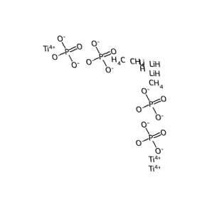 C.C.C.O=P([O-])([O-])[O-].O=P([O-])([O-])[O-].O=P([O-])([O-])[O-].O=P([O-])([O-])[O-].[LiH].[LiH].[LiH].[Ti+4].[Ti+4].[Ti+4]